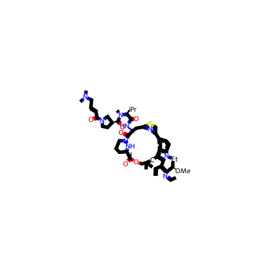 C=C/C(=C(\N=C/C)[C@H](C)OC)c1c2c3cc(ccc3n1CC)-c1csc(n1)C[C@H](NC(=O)[C@H](C(C)C)N(C)C(=O)[C@H]1CCN(C(=O)/C=C/CN(C)C)C1)C(=O)N1CCC[C@H](N1)C(=O)OCC(C)(C)C2